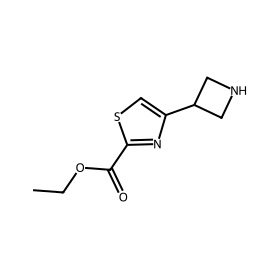 CCOC(=O)c1nc(C2CNC2)cs1